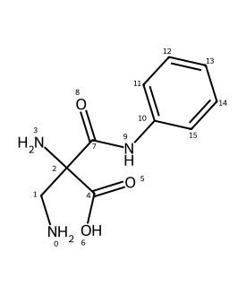 NCC(N)(C(=O)O)C(=O)Nc1ccccc1